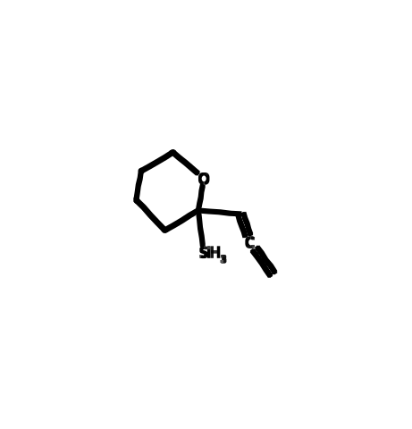 C=C=CC1([SiH3])CCCCO1